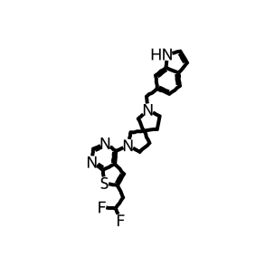 FC(F)Cc1cc2c(N3CCC4(CCN(Cc5ccc6cc[nH]c6c5)C4)C3)ncnc2s1